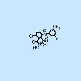 O=c1[nH]c2c(S(=O)(=O)c3cc(F)cc(C(F)(F)F)c3)ccc(Cl)c2c(=O)n1O